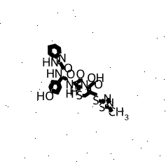 Cc1nnc(SCC2=C(C(=O)O)N3C(=O)C(NC(=O)C(NC(=O)c4nc5ccccc5[nH]4)c4ccc(O)cc4)[C@@H]3SC2)s1